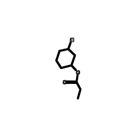 CCC(=O)OC1CCCC(Cl)C1